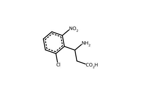 NC(CC(=O)O)c1c(Cl)cccc1[N+](=O)[O-]